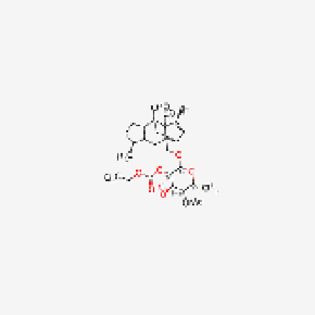 CO[C@H]1[C@@H](O)[C@H](OC(=O)OCC(Cl)(Cl)Cl)[C@H](OCC23CC4C(C)CCC4C4(C=O)CC2C=C(C(C)C)C43C(=O)O)O[C@@H]1C